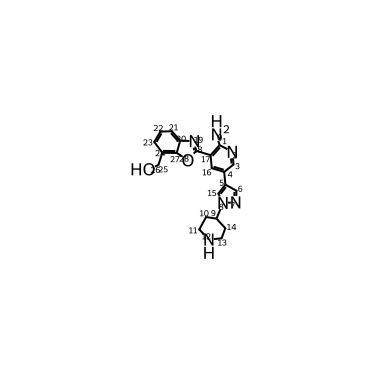 Nc1ncc(-c2cnn(C3CCNCC3)c2)cc1-c1nc2cccc(CO)c2o1